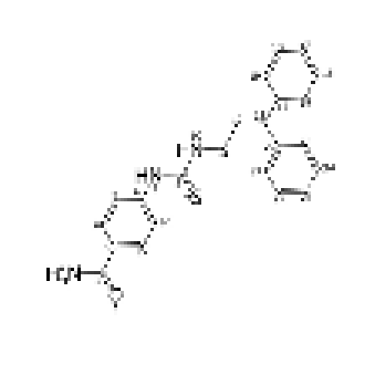 NC(=O)c1ccc(NC(=S)NCCC(c2ccccc2)c2ccccc2)cc1